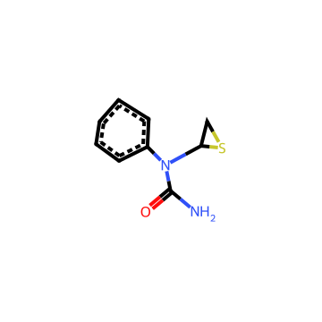 NC(=O)N(c1ccccc1)C1CS1